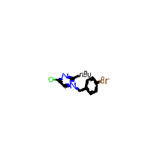 CCCCc1nc(Cl)[c]n1Cc1ccc(Br)cc1